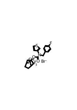 C[N+]1(C)C2CCC1CC(OC(=O)N(Cc1ccc(F)cc1)c1ccsc1)C2.[Br-]